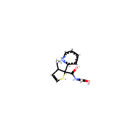 CC1C=CSC1(C(=O)N=C=O)c1ccccn1